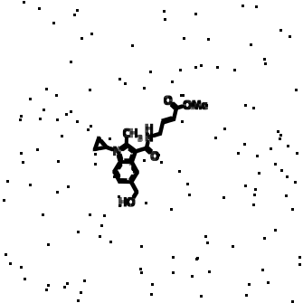 COC(=O)/C=C/CNC(=O)c1c(C)n(C2CC2)c2ccc(CO)cc12